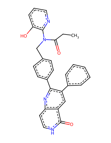 CCC(=O)N(Cc1ccc(-c2nc3cc[nH]c(=O)c3cc2-c2ccccc2)cc1)c1ncccc1O